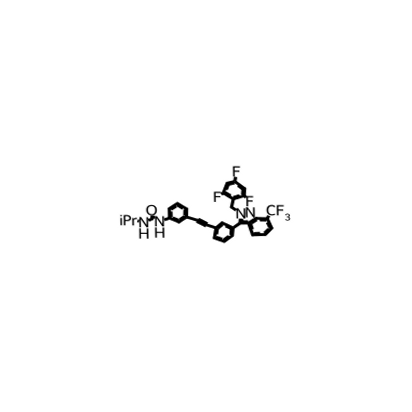 CC(C)NC(=O)Nc1cccc(C#Cc2cccc(-c3c4cccc(C(F)(F)F)c4nn3Cc3c(F)cc(F)cc3F)c2)c1